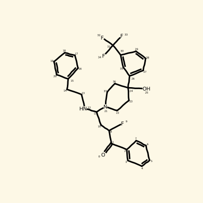 O=C(c1ccccc1)C(F)CC(NCCc1ccccc1)N1CCC(O)(c2cccc(C(F)(F)F)c2)CC1